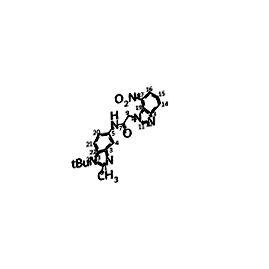 Cc1nc2cc(NC(=O)Cn3cnc4cccc([N+](=O)[O-])c43)ccc2n1C(C)(C)C